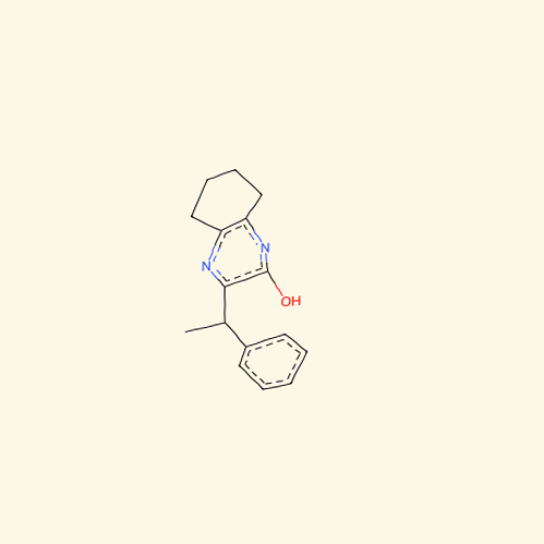 CC(c1ccccc1)c1nc2c(nc1O)CCCC2